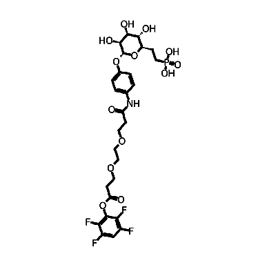 O=C(CCOCCOCCC(=O)Oc1c(F)c(F)cc(F)c1F)Nc1ccc(O[C@H]2O[C@H](CCP(=O)(O)O)[C@@H](O)[C@H](O)[C@@H]2O)cc1